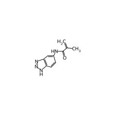 C=C(C)C(=O)Nc1ccc2[nH]nnc2c1